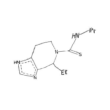 CCC1c2nc[nH]c2CCN1C(=S)NC(C)C